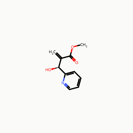 C=C(C(=O)OC)[C@H](O)c1ccccn1